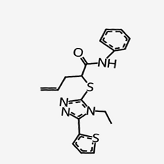 C=CCC(Sc1nnc(-c2cccs2)n1CC)C(=O)Nc1ccccc1